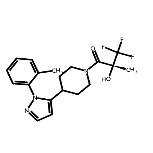 Cc1ccccc1-n1nccc1C1CCN(C(=O)[C@@](C)(O)C(F)(F)F)CC1